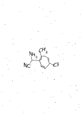 Cc1cc(Cl)ccc1C(N)C#N